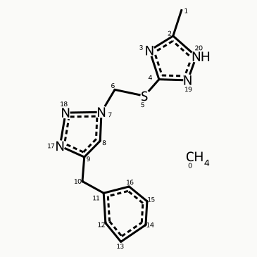 C.Cc1nc(SCn2cc(Cc3ccccc3)nn2)n[nH]1